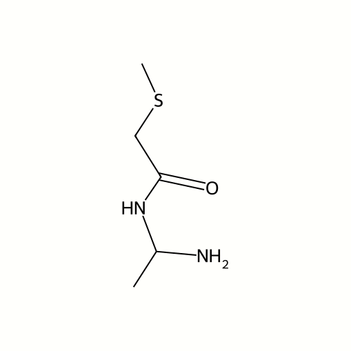 CSCC(=O)NC(C)N